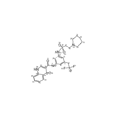 O=C(Nc1cc(CC(F)(F)F)cc(NS(=O)(=O)CCN2CCCCC2)c1)c1c[nH]c2ccccc2c1=O